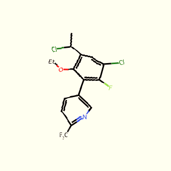 CCOc1c(C(C)Cl)cc(Cl)c(F)c1-c1ccc(C(F)(F)F)nc1